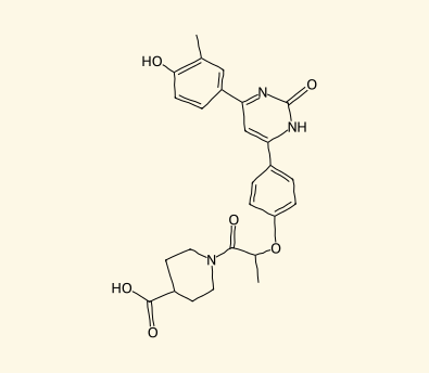 Cc1cc(-c2cc(-c3ccc(OC(C)C(=O)N4CCC(C(=O)O)CC4)cc3)[nH]c(=O)n2)ccc1O